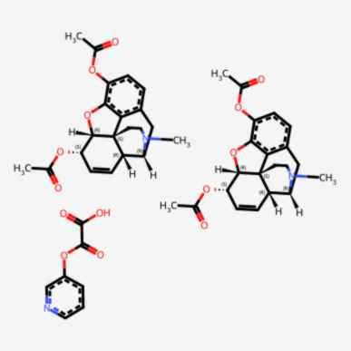 CC(=O)Oc1ccc2c3c1O[C@H]1[C@@H](OC(C)=O)C=C[C@H]4[C@@H](C2)N(C)CC[C@@]341.CC(=O)Oc1ccc2c3c1O[C@H]1[C@@H](OC(C)=O)C=C[C@H]4[C@@H](C2)N(C)CC[C@@]341.O=C(O)C(=O)Oc1cccnc1